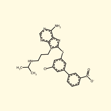 CC(C)NCCCn1c(Sc2cc(Cl)cc(-c3cccc([N+](=O)[O-])c3)c2)nc2c(N)ncnc21